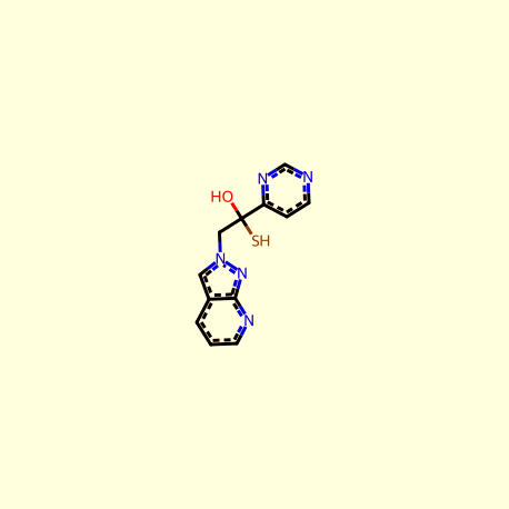 OC(S)(Cn1cc2cccnc2n1)c1ccncn1